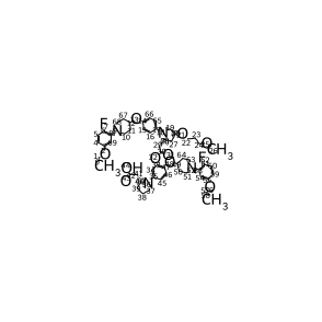 CCOc1ccc(F)c(N2CCC(Oc3ccc(N4C[C@H](OCCCOC)C[C@@H]4CC(=O)Oc4cc(N5CCC[C@@H]5CC(=O)O)ccc4OC4CCN(c5cc(OCC)ccc5F)CC4)cc3)CC2)c1